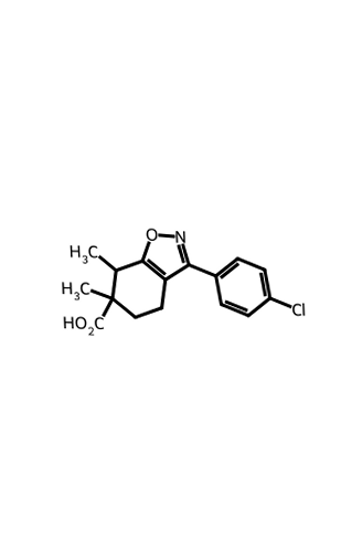 CC1c2onc(-c3ccc(Cl)cc3)c2CCC1(C)C(=O)O